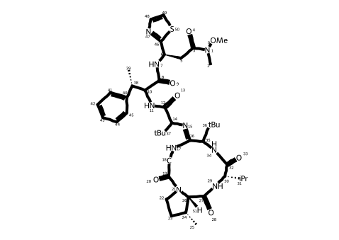 CON(C)C(=O)C[C@@H](NC(=O)C(NC(=O)C(/N=C1\NCC(=O)N2CC[C@@H](C)[C@H]2C(=O)N[C@@H](C(C)C)C(=O)NC1C(C)(C)C)C(C)(C)C)[C@@H](C)c1ccccc1)c1nccs1